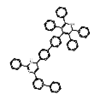 C1=C(c2cccc(-c3ccccc3)c2)N=C(c2ccccc2)NC1c1ccc(-c2ccc(C3=C(c4ccccc4)C(c4ccccc4)NC(c4ccccc4)=C3c3ccccc3)cc2)cc1